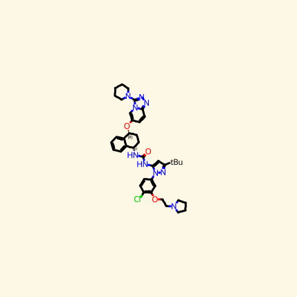 CC(C)(C)c1cc(NC(=O)N[C@H]2CC[C@@H](Oc3ccc4nnc(N5CCCCC5)n4c3)c3ccccc32)n(-c2ccc(Cl)c(OCCN3CCCC3)c2)n1